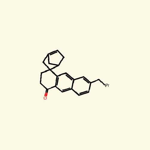 CC(C)Cc1ccc2cc3c(cc2c1)C1(CCC3=O)CC2=CCC1C2